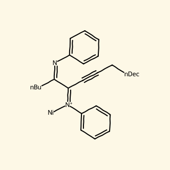 CCCCCCCCCCCC#CC(C(CCCC)=Nc1ccccc1)=[N+]([Ni])c1ccccc1